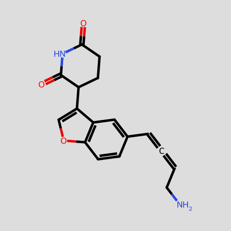 NCC=C=Cc1ccc2occ(C3CCC(=O)NC3=O)c2c1